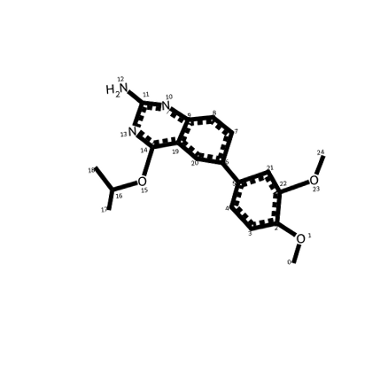 COc1ccc(-c2ccc3nc(N)nc(OC(C)C)c3c2)cc1OC